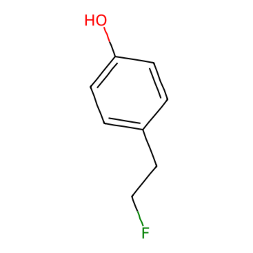 Oc1ccc(CCF)cc1